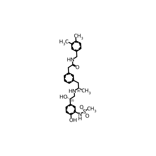 Cc1ccc(CNC(=O)Cc2cccc(C[C@@H](C)NC[C@@H](O)c3ccc(O)c(NS(C)(=O)=O)c3)c2)cc1C